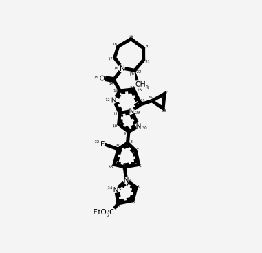 CCOC(=O)c1ccn(-c2ccc(-c3cc4nc(C(=O)N5CCCCC[C@H]5C)cc(C5CC5)n4n3)c(F)c2)n1